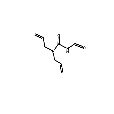 C=CCN(CC=C)C(=O)N[C]=O